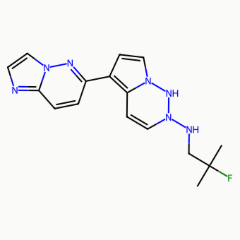 CC(C)(F)CNN1C=Cc2c(-c3ccc4nccn4n3)ccn2N1